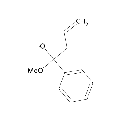 C=CCC([O])(OC)c1ccccc1